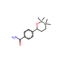 C[Si]1(C)CCC(c2ccc(C(N)=O)cc2)O[Si]1(C)C